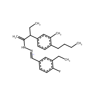 C=C(N/N=C/c1ccc(F)c(CC)c1)C(CC)c1ccc(CCCC)c(C)c1